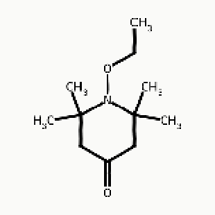 CCON1C(C)(C)CC(=O)CC1(C)C